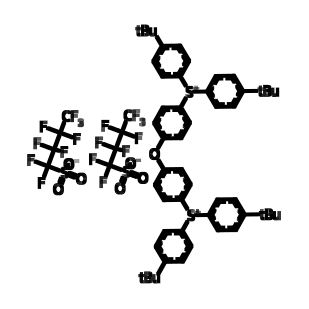 CC(C)(C)c1ccc([S+](c2ccc(Oc3ccc([S+](c4ccc(C(C)(C)C)cc4)c4ccc(C(C)(C)C)cc4)cc3)cc2)c2ccc(C(C)(C)C)cc2)cc1.O=S(=O)([O-])C(F)(F)C(F)(F)C(F)(F)C(F)(F)F.O=S(=O)([O-])C(F)(F)C(F)(F)C(F)(F)C(F)(F)F